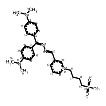 CN(C)c1ccc(C(=N/N=C/c2ccc[n+](CCCCS(=O)(=O)[O-])c2)c2ccc(N(C)C)cc2)cc1